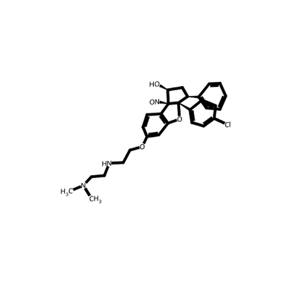 CN(C)CCNCCOc1ccc2c(c1)O[C@@]1(c3ccc(Cl)cc3)[C@H](c3ccccc3)C[C@H](O)[C@@]21N=O